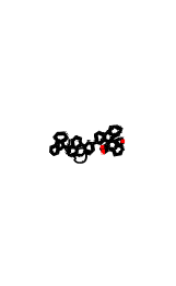 c1ccc2c(c1)-c1ccc(-c3ccc4c(c3)-c3cccc5c(-n6c7ccccc7c7ccccc76)ccc(c35)O4)cc1C21c2ccccc2-c2cccc3cccc1c23